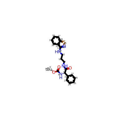 CC(C)(C)OC(=O)N[C@H](C(=O)NCCCNc1nsc2ccccc12)c1ccccc1